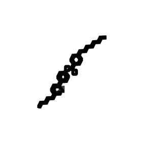 CCCCCCCCC1CCC(C(=O)Oc2ccc(-c3ccc(CCCCC)cn3)cc2)CC1